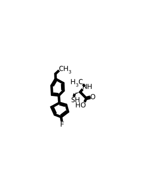 CCc1ccc(-c2ccc(F)cc2)cc1.CN[C@@H](CS)C(=O)O